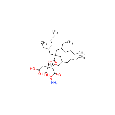 CCCCC(CC)CC(CC(CC)CCCC)(CC(CC)CCCC)C(=O)OC(CC(=O)O)(CC(=O)ON)C(=O)O